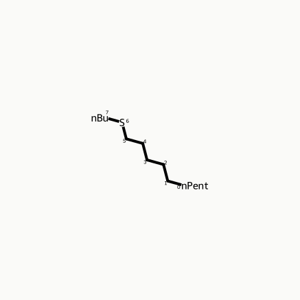 [CH2]CCCCCCCCCSCCCC